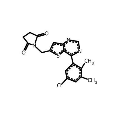 Cc1cc(Cl)cc(-c2ncnc3cc(CN4C(=O)CCC4=O)sc23)c1C